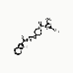 Cc1nc(C)c(C(=O)N2CCC3(CC2)CC3CNC(=O)c2cc3cnccc3[nH]2)o1